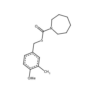 COc1ccc(CSC(=O)N2CCCCCC2)cc1C